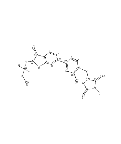 CN1C(=O)CN(Cc2ccc(-c3ccc4c(c3)CN(CC(C)(C)CO)C4=O)cc2Cl)C1=O